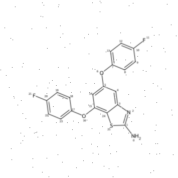 Nc1nc2cc(Oc3ccc(F)cc3)cc(Oc3ccc(F)cc3)c2s1